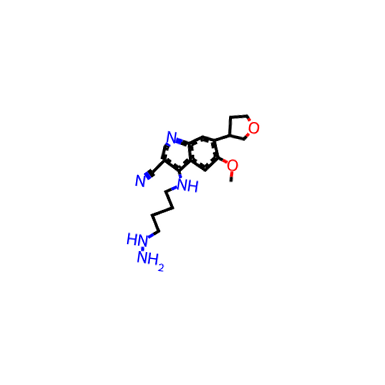 COc1cc2c(NCCCCNN)c(C#N)cnc2cc1C1CCOC1